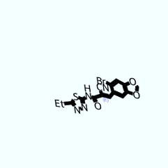 CCc1nnc(NC(=O)/C(C#N)=C/c2cc3c(cc2Br)OCO3)s1